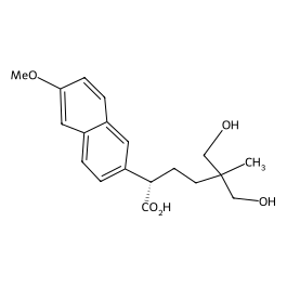 COc1ccc2cc([C@H](CCC(C)(CO)CO)C(=O)O)ccc2c1